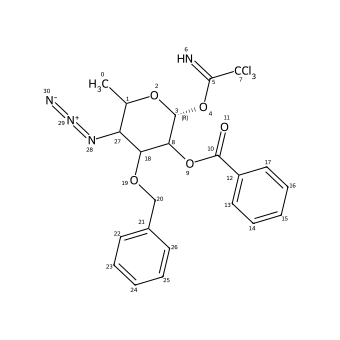 CC1O[C@H](OC(=N)C(Cl)(Cl)Cl)C(OC(=O)c2ccccc2)C(OCc2ccccc2)C1N=[N+]=[N-]